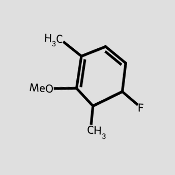 COC1=C(C)C=CC(F)C1C